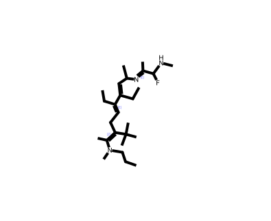 CCCN(C)/C(C)=C(/C/C=C(\CC)C(=CC(C)/N=C(\C)C(F)NC)CC)C(C)(C)C